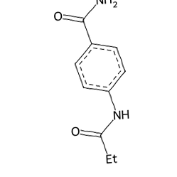 CCC(=O)Nc1ccc(C(N)=O)cc1